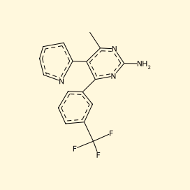 Cc1nc(N)nc(-c2cccc(C(F)(F)F)c2)c1-c1ccccn1